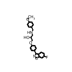 COc1ccc(CNC[C@@H](O)COc2ccc(-c3noc4cc(F)ccc34)cc2)cc1